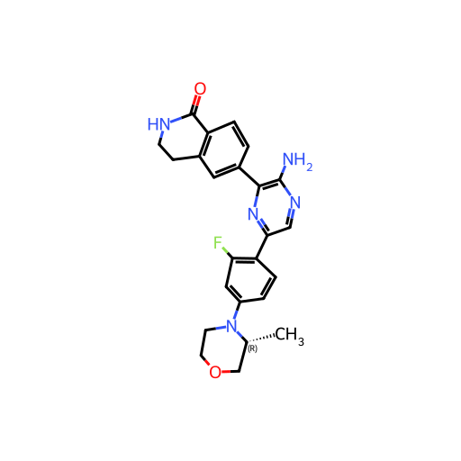 C[C@@H]1COCCN1c1ccc(-c2cnc(N)c(-c3ccc4c(c3)CCNC4=O)n2)c(F)c1